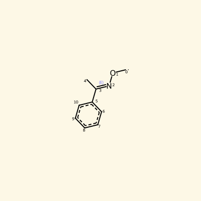 [CH2]O/N=C(\C)c1ccccc1